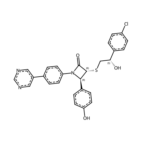 O=C1[C@H](SC[C@@H](O)c2ccc(Cl)cc2)[C@@H](c2ccc(O)cc2)N1c1ccc(-c2cncnc2)cc1